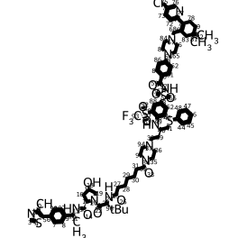 Cc1ncsc1-c1ccc([C@H](C)NC(=O)[C@@H]2C[C@@H](O)CN2C(=O)[C@@H](NC(=O)CCCCCC(=O)N2CCN(CC[C@H](CSc3ccccc3)Nc3ccc(S(=O)(=O)NC(=O)c4ccc(N5CCN(CC6=C(c7ccc(Cl)cn7)CCC(C)(C)C6)CC5)cc4)cc3S(=O)(=O)C(F)(F)F)CC2)C(C)(C)C)cc1